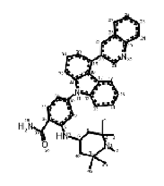 CN1C(C)(C)CC(Nc2cc(-n3c4ccccc4c4c(-c5cnc6ccccc6c5)cccc43)ccc2C(N)=O)CC1(C)C